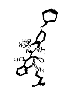 CC(C)CCNn1c(=O)c(C2=NS(O)(O)c3cc(OCc4ccccc4)ccc3N2)c(O)c2ccccc21